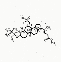 COC(=O)CC[C@@H](C)[C@H]1CC[C@H]2[C@@H]3[C@H](CS(=O)(=O)O)C[C@@H]4CC(O[Si](C)(C)C(C)(C)C)CC[C@]4(C)[C@H]3CC[C@]12C